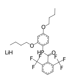 CCCCOc1ccc(PC(=O)c2c(C(F)(F)F)cccc2C(F)(F)F)c(OCCCC)c1.[LiH]